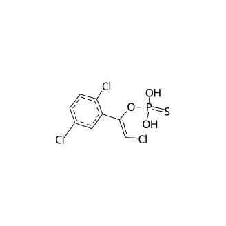 OP(O)(=S)OC(=CCl)c1cc(Cl)ccc1Cl